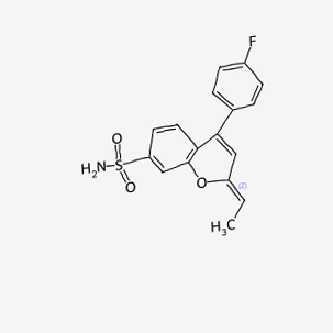 C/C=C1/C=C(c2ccc(F)cc2)c2ccc(S(N)(=O)=O)cc2O1